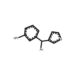 C[CH]Cc1cccc(C(C(C)=O)c2ccsc2)c1